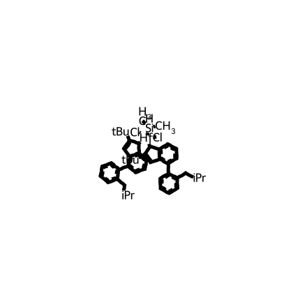 CC(C)Cc1ccccc1-c1cccc2c1C=C(C(C)(C)C)[CH]2[Hf]([Cl])([Cl])([CH]1C(C(C)(C)C)=Cc2c(-c3ccccc3CC(C)C)cccc21)[SiH](C)C